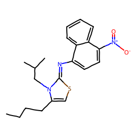 CCCCc1csc(=Nc2ccc([N+](=O)[O-])c3ccccc23)n1CC(C)C